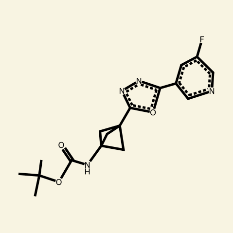 CC(C)(C)OC(=O)NC12CC(c3nnc(-c4cncc(F)c4)o3)(C1)C2